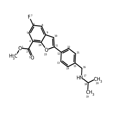 COC(=O)c1cc(F)cc2cc(-c3ccc(CNC(C)C)cc3)oc12